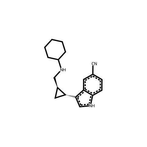 N#Cc1ccc2[nH]cc([C@@H]3C[C@H]3CNC3CCCCC3)c2c1